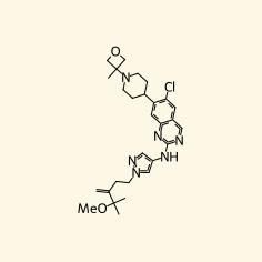 C=C(CCn1cc(Nc2ncc3cc(Cl)c(C4CCN(C5(C)COC5)CC4)cc3n2)cn1)C(C)(C)OC